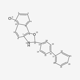 Clc1cccc2c3c(ccc12)NC(c1ccc(-c2ccccc2)cc1)O3